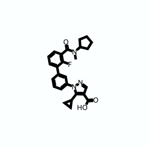 CN(C(=O)c1cccc(-c2cccc(-n3ncc(C(=O)O)c3C3CC3)c2)c1F)C1CCCC1